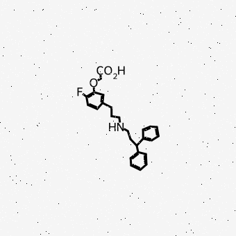 O=C(O)COc1cc(CCCNCCC(c2ccccc2)c2ccccc2)ccc1F